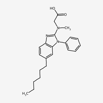 CCCCCCc1ccc2nc(N(C)CC(=O)O)n(-c3ccccc3)c2c1